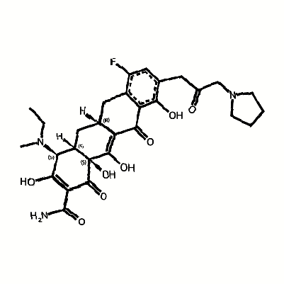 CCN(C)[C@@H]1C(O)=C(C(N)=O)C(=O)[C@@]2(O)C(O)=C3C(=O)c4c(O)c(CC(=O)CN5CCCC5)cc(F)c4C[C@H]3C[C@@H]12